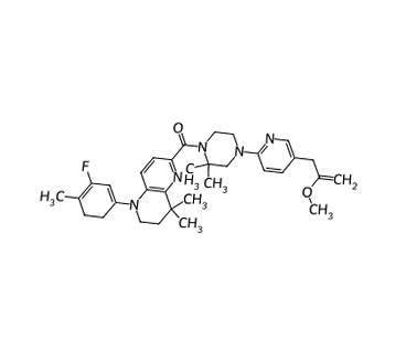 C=C(Cc1ccc(N2CCN(C(=O)c3ccc4c(n3)C(C)(C)CCN4C3=CC(F)=C(C)CC3)C(C)(C)C2)nc1)OC